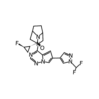 O=C([C@@H]1C[C@H]1F)N1C2CCC1CN(c1ncnn3cc(-c4cnn(C(F)F)c4)cc13)C2